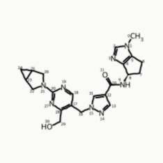 Cn1cnc2c1CC[C@H]2NC(=O)c1cnn(Cc2cnc(N3CC4CC4C3)nc2CO)c1